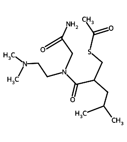 CC(=O)SCC(CC(C)C)C(=O)N(CCN(C)C)CC(N)=O